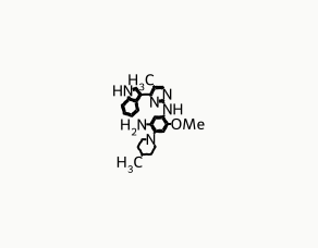 COc1cc(N2CCC(C)CC2)c(N)cc1Nc1ncc(C)c(-c2c[nH]c3ccccc23)n1